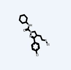 CCSCCC1CN(C(=O)NC2CCCCC2)N=C1c1ccc(Cl)cc1